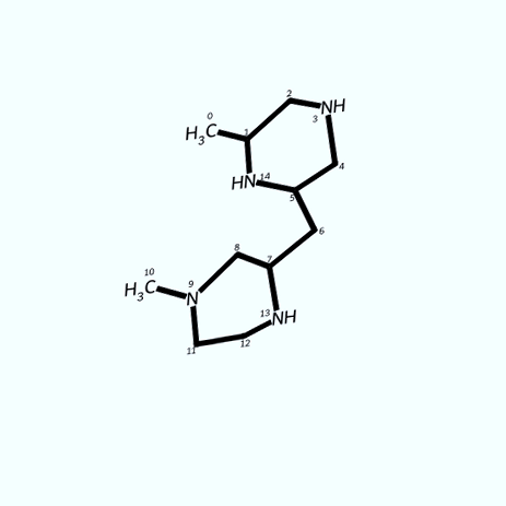 CC1CNCC(CC2CN(C)CCN2)N1